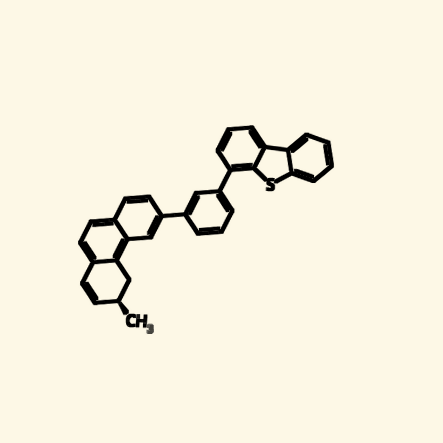 C[C@H]1C=Cc2ccc3ccc(-c4cccc(-c5cccc6c5sc5ccccc56)c4)cc3c2C1